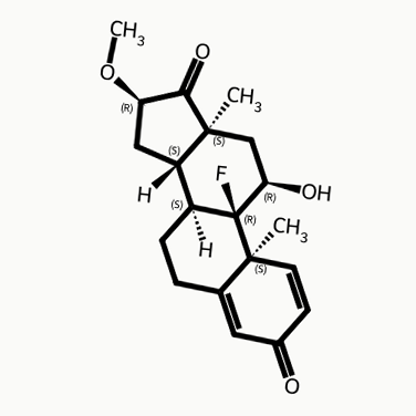 CO[C@@H]1C[C@H]2[C@@H]3CCC4=CC(=O)C=C[C@]4(C)[C@@]3(F)[C@H](O)C[C@]2(C)C1=O